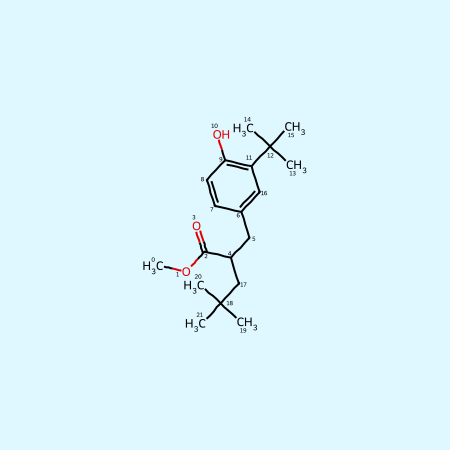 COC(=O)C(Cc1ccc(O)c(C(C)(C)C)c1)CC(C)(C)C